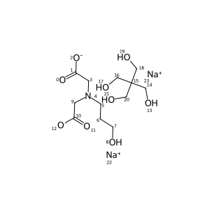 O=C([O-])CN(CCCO)CC(=O)[O-].OCC(CO)(CO)CO.[Na+].[Na+]